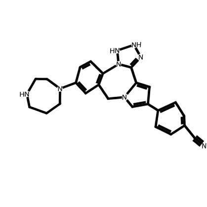 N#Cc1ccc(-c2cc3n(c2)Cc2cc(N4CCCNCC4)ccc2N2NNN=C32)cc1